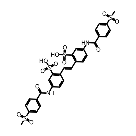 CS(=O)(=O)c1ccc(C(=O)Nc2ccc(C=Cc3ccc(NC(=O)c4ccc(S(C)(=O)=O)cc4)cc3S(=O)(=O)O)c(S(=O)(=O)O)c2)cc1